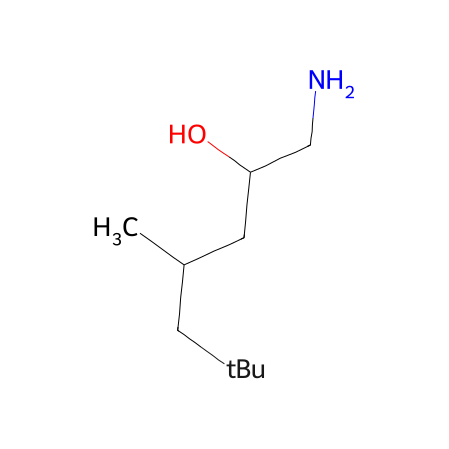 CC(CC(O)CN)CC(C)(C)C